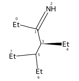 CCC(=N)[C@@H](CC)C(CC)CC